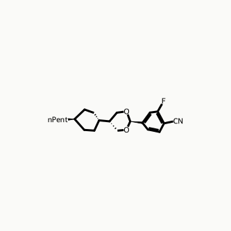 CCCCC[C@H]1CC[C@H]([C@H]2CO[C@H](c3ccc(C#N)c(F)c3)OC2)CC1